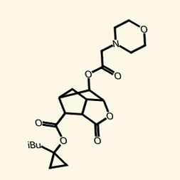 CCC(C)C1(OC(=O)C2C3CC4C(OC(=O)C42)C3OC(=O)CN2CCOCC2)CC1